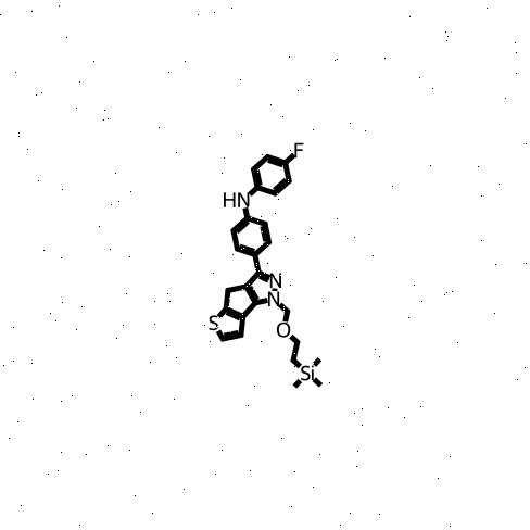 C[Si](C)(C)CCOCn1nc(-c2ccc(Nc3ccc(F)cc3)cc2)c2c1-c1ccsc1C2